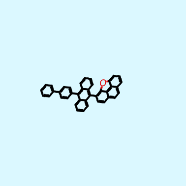 c1ccc(-c2ccc(-c3c4ccccc4c(-c4ccc5ccc6cccc7oc4c5c67)c4ccccc34)cc2)cc1